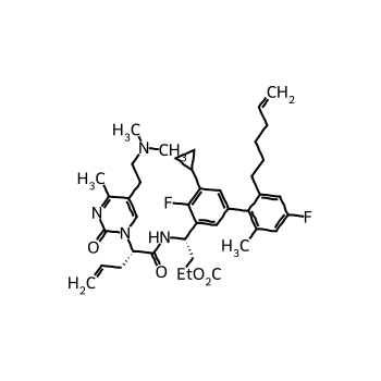 C=CCCCCc1cc(F)cc(C)c1-c1cc(C2CC2)c(F)c([C@H](CC(=O)OCC)NC(=O)[C@H](CC=C)n2cc(CCN(C)C)c(C)nc2=O)c1